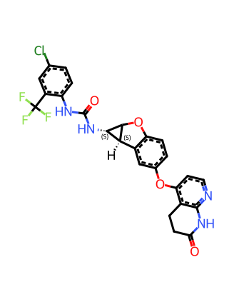 O=C1CCc2c(Oc3ccc4c(c3)[C@@H]3C(O4)[C@H]3NC(=O)Nc3ccc(Cl)cc3C(F)(F)F)ccnc2N1